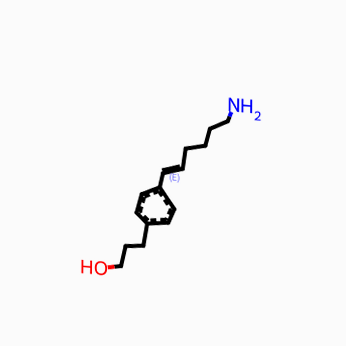 NCCCC/C=C/c1ccc(CCCO)cc1